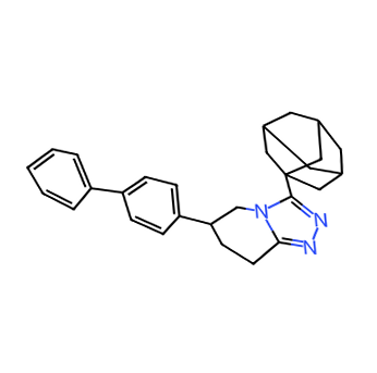 c1ccc(-c2ccc(C3CCc4nnc(C56CC7CC(CC(C7)C5)C6)n4C3)cc2)cc1